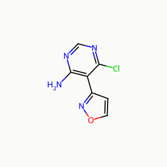 Nc1ncnc(Cl)c1-c1ccon1